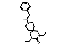 CC[C@H]1OC2(CCN(C(F)Cc3ccccc3)CC2)CN(CC)C1=O